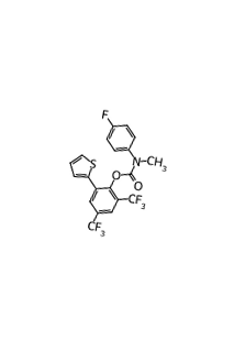 CN(C(=O)Oc1c(-c2cccs2)cc(C(F)(F)F)cc1C(F)(F)F)c1ccc(F)cc1